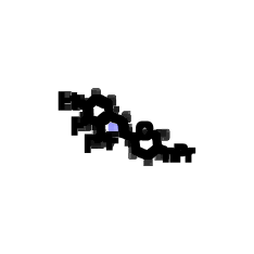 CCCC1CCC(/C=C/c2ccc(CC)c(F)c2C(F)F)OC1